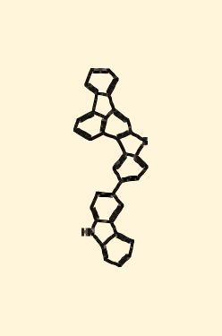 c1ccc2c(c1)-c1cccc3c1c-2cc1sc2ccc(-c4ccc5[nH]c6ccccc6c5c4)cc2c13